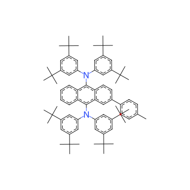 Cc1ccc(-c2ccc3c(N(c4cc(C(C)(C)C)cc(C(C)(C)C)c4)c4cc(C(C)(C)C)cc(C(C)(C)C)c4)c4ccccc4c(N(c4cc(C(C)(C)C)cc(C(C)(C)C)c4)c4cc(C(C)(C)C)cc(C(C)(C)C)c4)c3c2)cc1